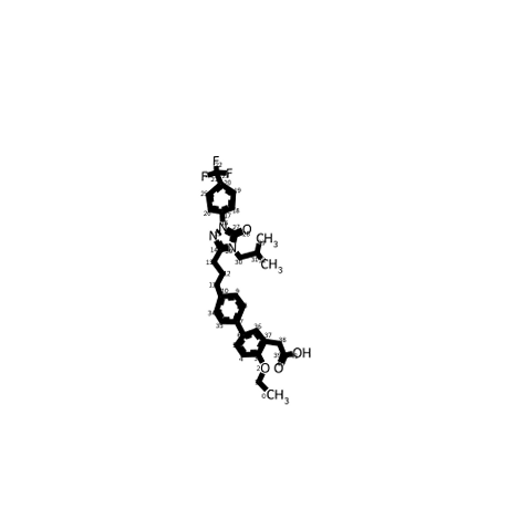 CCOc1ccc(-c2ccc(CCCc3nn(-c4ccc(C(F)(F)F)cc4)c(=O)n3CC(C)C)cc2)cc1CC(=O)O